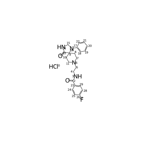 Cl.O=C(NCCN1CCC2(CC1)C(=O)NCN2c1ccccc1)c1ccc(F)cc1